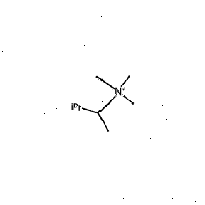 CC(C)C(C)[N+](C)(C)C